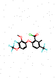 COc1c(Oc2ccc(C(F)(F)F)c(C)c2C(=O)Cl)ccc(OC(F)(F)F)c1F